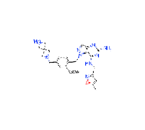 COc1cc(CN2CC3(CNC3)C2)ccc1Cn1ncc2nc(N)nc(NCc3cc(C)on3)c21